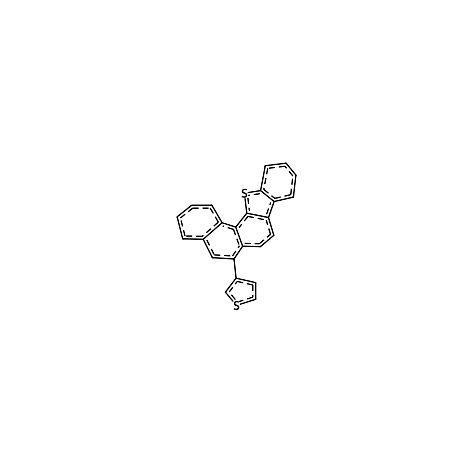 c1ccc2c(c1)cc(-c1ccsc1)c1ccc3c4ccccc4sc3c12